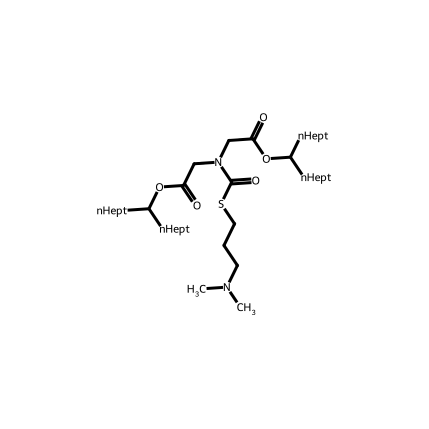 CCCCCCCC(CCCCCCC)OC(=O)CN(CC(=O)OC(CCCCCCC)CCCCCCC)C(=O)SCCCN(C)C